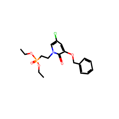 CCOP(=O)(CCn1cc(Cl)cc(OCc2ccccc2)c1=O)OCC